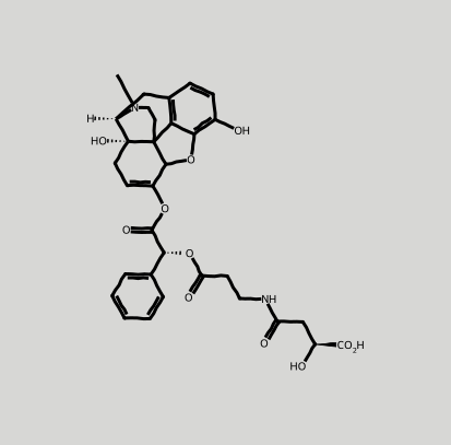 CN1CCC23c4c5ccc(O)c4OC2C(OC(=O)[C@H](OC(=O)CCNC(=O)C[C@H](O)C(=O)O)c2ccccc2)=CC[C@@]3(O)[C@H]1C5